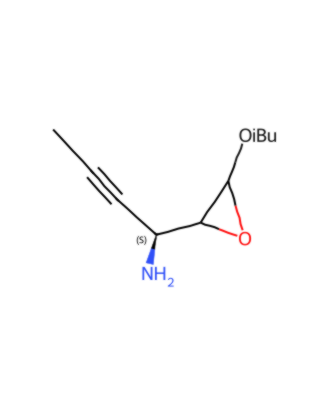 CC#C[C@H](N)C1OC1OCC(C)C